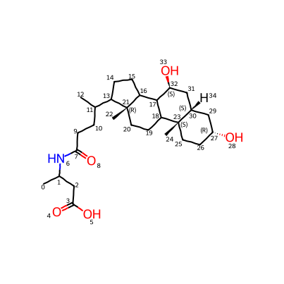 CC(CC(=O)O)NC(=O)CCC(C)C1CCC2C3C(CC[C@]12C)[C@@]1(C)CC[C@@H](O)C[C@H]1C[C@@H]3O